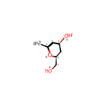 CC(C)C1C[C@@H](O)C[C@@H](CO)O1